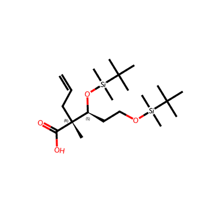 C=CC[C@@](C)(C(=O)O)[C@H](CCO[Si](C)(C)C(C)(C)C)O[Si](C)(C)C(C)(C)C